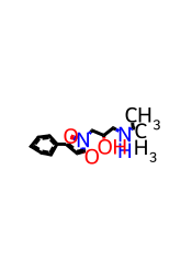 CC(C)NCC(O)Cn1oc(-c2ccccc2)cc1=O